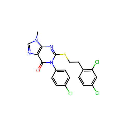 Cn1cnc2c(=O)n(-c3ccc(Cl)cc3)c(SCCc3ccc(Cl)cc3Cl)nc21